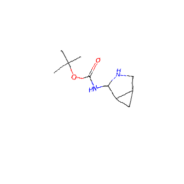 CC(C)(C)OC(=O)NC1NCC2CC21